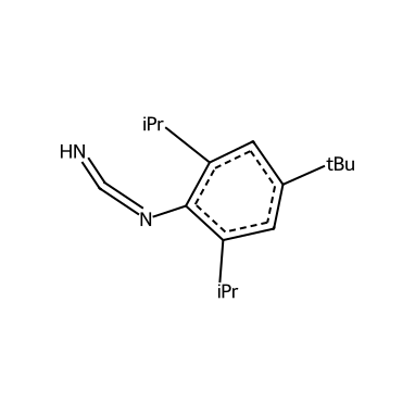 CC(C)c1cc(C(C)(C)C)cc(C(C)C)c1N=C=N